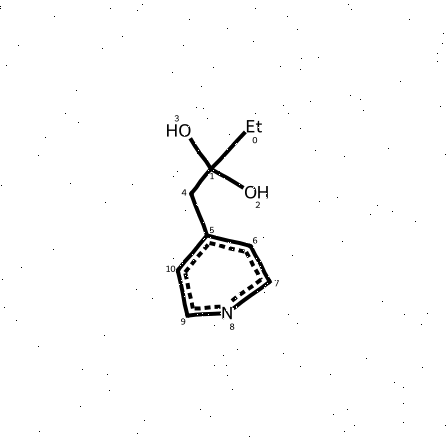 CCC(O)(O)Cc1ccncc1